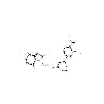 CCOc1cc(-c2cc(NCCn3c(C#N)cc4c(OC)ccc(F)c43)ncn2)ccc1C(=O)NO